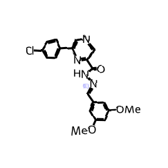 COc1cc(/C=N/NC(=O)c2cncc(-c3ccc(Cl)cc3)n2)cc(OC)c1